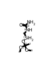 COC(C)(OC)O[SiH2]CNC(N)=O